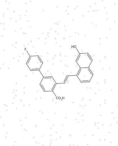 O=C(O)c1ccc(-c2ccc(F)cc2)cc1/C=C/c1cccc2ccc(O)cc12